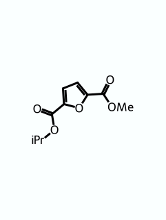 COC(=O)c1ccc(C(=O)OC(C)C)o1